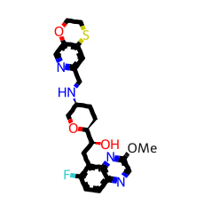 COc1cnc2ccc(F)c(C[C@H](O)[C@@H]3CC[C@@H](NCc4cc5c(cn4)OCCS5)CO3)c2n1